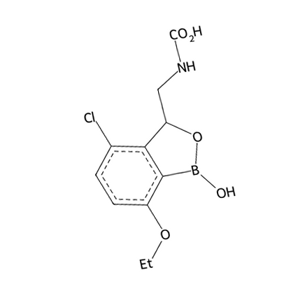 CCOc1ccc(Cl)c2c1B(O)OC2CNC(=O)O